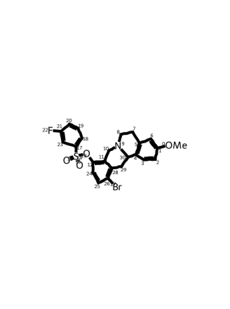 COc1ccc2c(c1)CCN1Cc3c(OS(=O)(=O)c4cccc(F)c4)ccc(Br)c3CC21